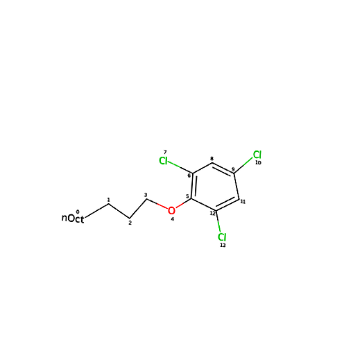 CCCCCCCCCCCOc1c(Cl)cc(Cl)cc1Cl